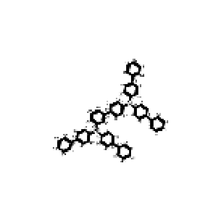 c1ccc(-c2ccc(N(c3ccc(-c4ccccc4)cc3)c3ccc(-c4cccc(N(c5ccc(-c6ccccc6)cc5)c5ccc(-c6ccccc6)cc5)c4)cc3)cc2)cc1